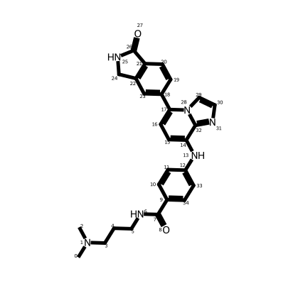 CN(C)CCCNC(=O)c1ccc(Nc2ccc(-c3ccc4c(c3)CNC4=O)n3ccnc23)cc1